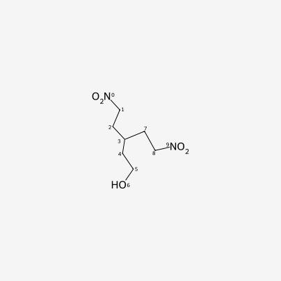 O=[N+]([O-])CCC(CCO)CC[N+](=O)[O-]